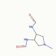 CN1CC(NC=O)C(NC=O)C1